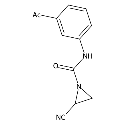 CC(=O)c1cccc(NC(=O)N2CC2C#N)c1